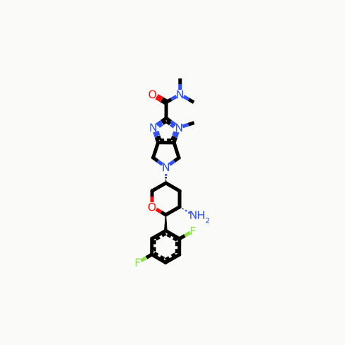 CN(C)C(=O)c1nc2c(n1C)CN([C@H]1CO[C@H](c3cc(F)ccc3F)[C@@H](N)C1)C2